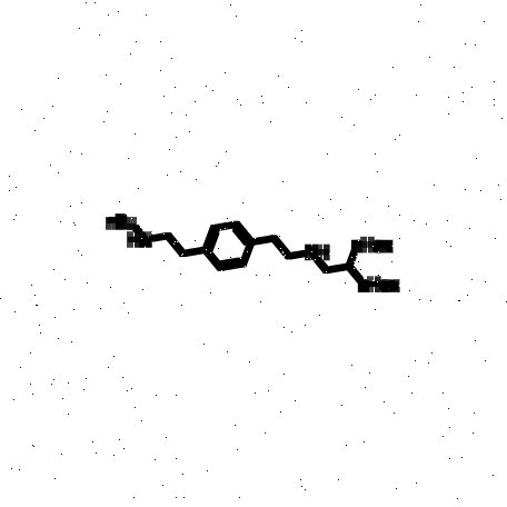 CCCCCCC(CCCCCC)CNCCc1ccc(CCNCCCC)cc1